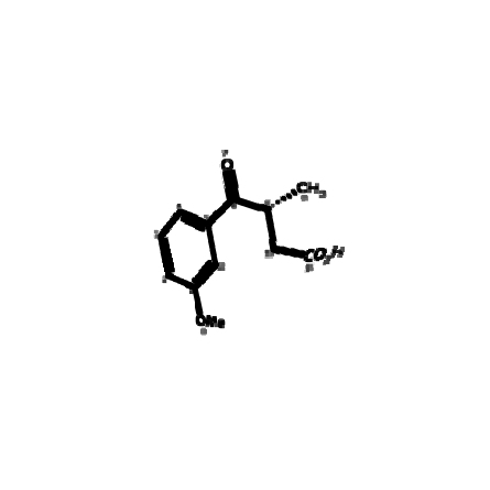 COc1cccc(C(=O)[C@H](C)CC(=O)O)c1